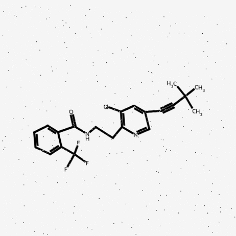 CC(C)(C)C#Cc1cnc(CCNC(=O)c2ccccc2C(F)(F)F)c(Cl)c1